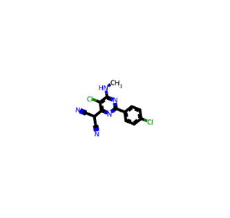 CNc1nc(-c2ccc(Cl)cc2)nc(C(C#N)C#N)c1Cl